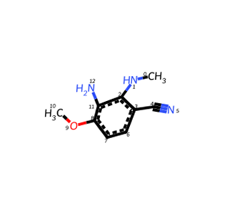 CNc1c(C#N)ccc(OC)c1N